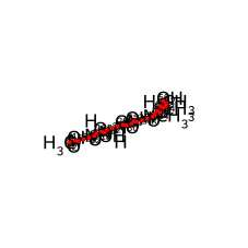 CC(=O)N(O)CCCCCNC(=O)CCC(=O)N(O)CCCCCNC(=O)CCC(=O)N(O)CCCCCNC(=O)CCC1(C)CCc2cc(O)c(C)c(C)c2O1